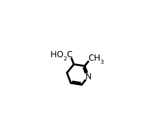 CC1=NC=CCC1C(=O)O